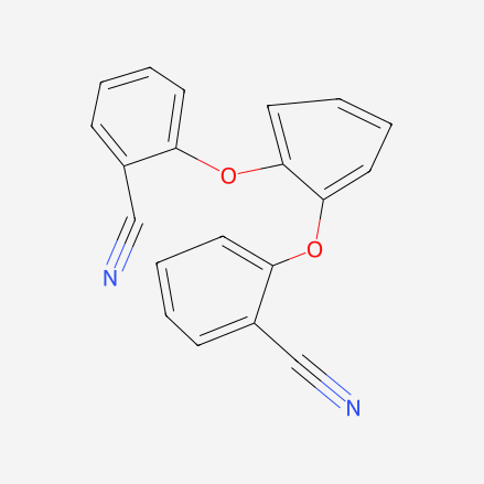 N#Cc1ccccc1Oc1ccccc1Oc1ccccc1C#N